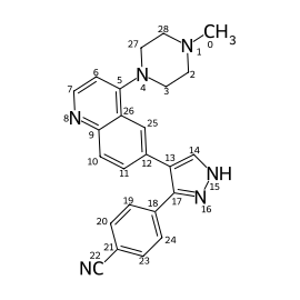 CN1CCN(c2ccnc3ccc(-c4c[nH]nc4-c4ccc(C#N)cc4)cc23)CC1